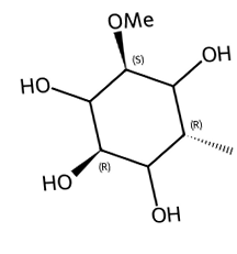 CO[C@H]1C(O)[C@H](C)C(O)[C@@H](O)C1O